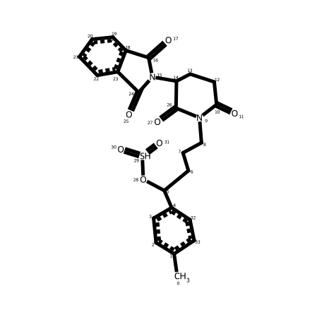 Cc1ccc(C(CCCN2C(=O)CCC(N3C(=O)c4ccccc4C3=O)C2=O)O[SH](=O)=O)cc1